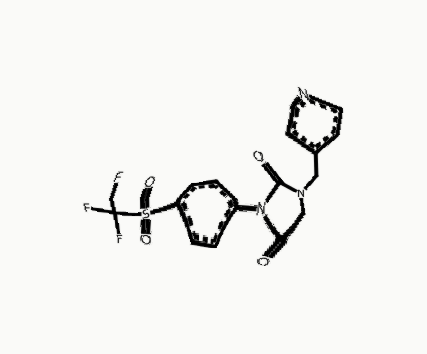 O=C1CN(Cc2ccncc2)C(=O)N1c1ccc(S(=O)(=O)C(F)(F)F)cc1